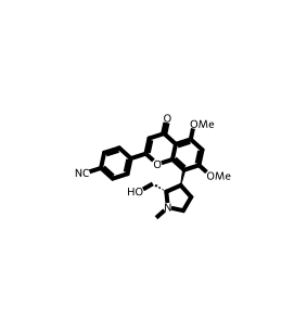 COc1cc(OC)c2c(=O)cc(-c3ccc(C#N)cc3)oc2c1[C@H]1CCN(C)[C@@H]1CO